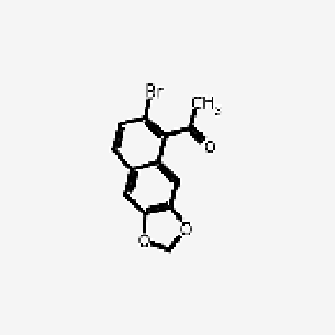 CC(=O)c1c(Br)ccc2cc3c(cc12)OCO3